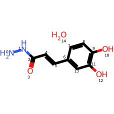 NNC(=O)C=Cc1ccc(O)c(O)c1.O